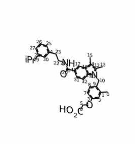 Cc1cc(OCC(=O)O)ccc1Cn1c(C)c(C)c2cc(C(=O)NCCc3cccc(C(C)C)c3)ccc21